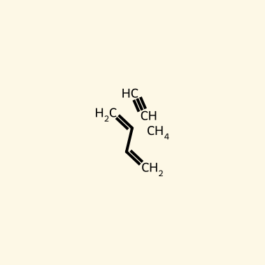 C.C#C.C=CC=C